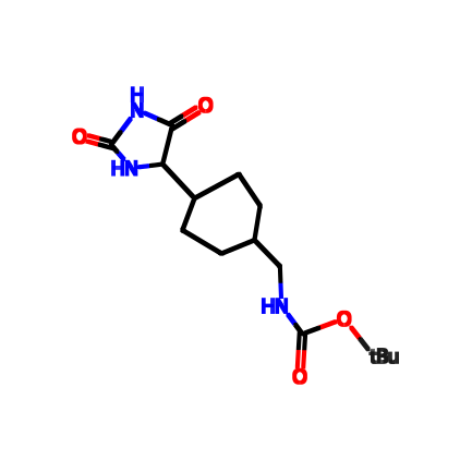 CC(C)(C)OC(=O)NCC1CCC(C2NC(=O)NC2=O)CC1